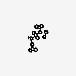 c1ccc2c(-c3cc(-n4c5ccccc5c5ccccc54)cc(-n4c5ccccc5c5ccccc54)c3)c3ccccc3c(-c3cncc(-c4ccc(-n5c6ccccc6c6ccccc65)cc4)c3)c2c1